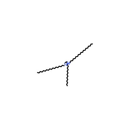 CCCCCCCCCCCCCCCCCCCn1cc[n+](CCCCCCCCCCCCCCCCCC)c1CCCCCCCCCCCCC